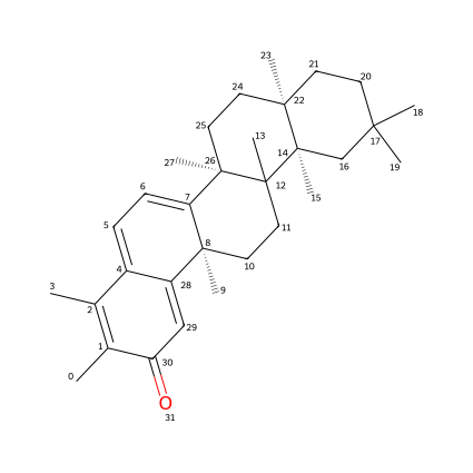 CC1=C(C)C2=CC=C3[C@@](C)(CCC4(C)[C@]5(C)CC(C)(C)CC[C@]5(C)CC[C@]34C)C2=CC1=O